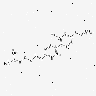 C=CCc1ccc(-c2ccc(C=CCCCC(C)O)cn2)c(F)c1